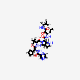 CCC[C@H](NC(=O)[C@@H]1[C@H]2NCC[C@H]2CN1C(=O)[C@@H](NC(=O)[C@@H](NC(=O)c1cnccn1)C1CCCC1)C(C)(C)C)C(=O)C(=O)N[C@@H](C)C(C)C